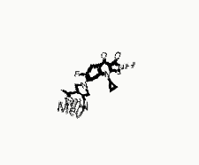 CON=C1CN(c2cc3c(cc2F)c(=O)c2c(=O)[nH]sc2n3C2CC2)CC1C(C)N